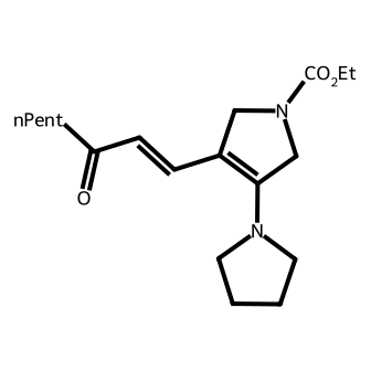 CCCCCC(=O)C=CC1=C(N2CCCC2)CN(C(=O)OCC)C1